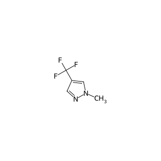 Cn1cc(C(F)(F)F)cn1